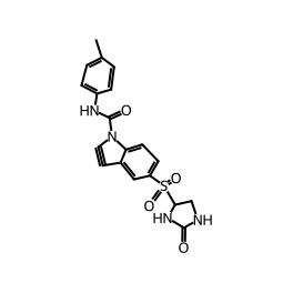 Cc1ccc(NC(=O)n2c#cc3cc(S(=O)(=O)C4CNC(=O)N4)ccc32)cc1